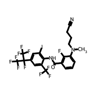 CN(CCCC#N)c1cccc(C(=O)Nc2c(I)cc(C(F)(C(F)(F)F)C(F)(F)F)cc2C(F)(F)F)c1F